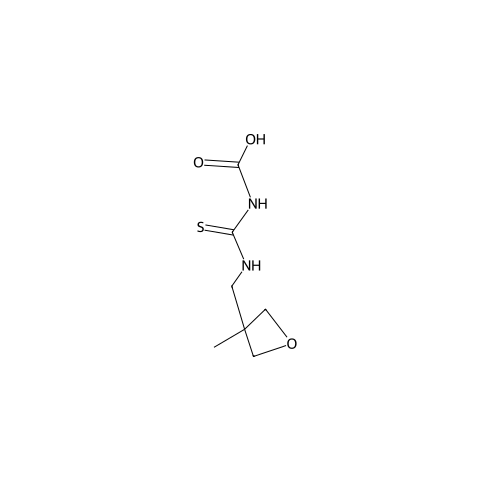 CC1(CNC(=S)NC(=O)O)COC1